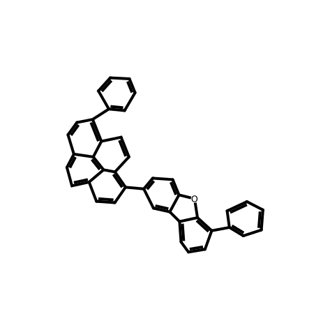 c1ccc(-c2ccc3ccc4ccc(-c5ccc6oc7c(-c8ccccc8)cccc7c6c5)c5ccc2c3c45)cc1